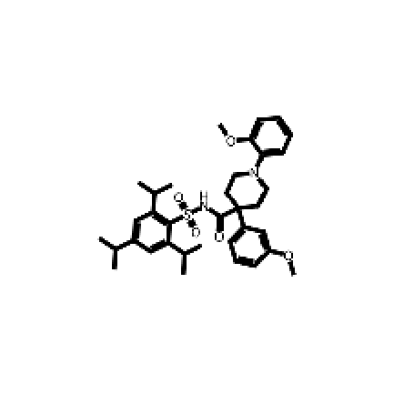 COc1cccc(C2(C(=O)NS(=O)(=O)c3c(C(C)C)cc(C(C)C)cc3C(C)C)CCN(c3ccccc3OC)CC2)c1